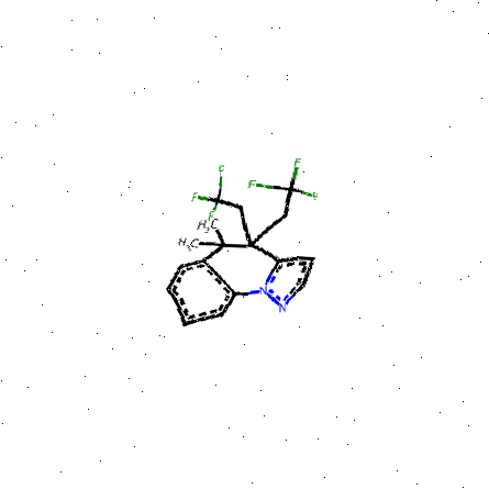 CC1(C)c2ccccc2-n2nccc2C1(CC(F)(F)F)CC(F)(F)F